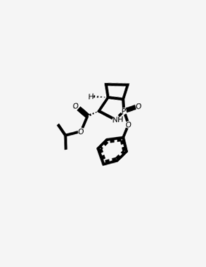 CC(C)OC(=O)[C@H]1NP(=O)(Oc2ccccc2)C2CC[C@@H]21